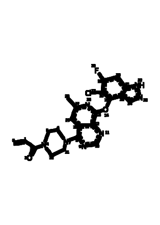 C=CC(=O)N1CCN(c2ncnc3c(Oc4c(Cl)c(F)cc5[nH]ncc45)nc(C)cc23)CC1